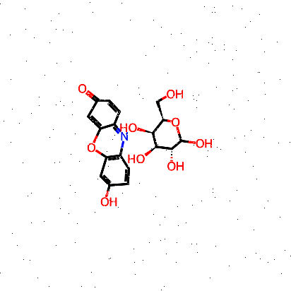 O=c1ccc2nc3ccc(O)cc3oc-2c1.OC[C@H]1OC(O)[C@H](O)[C@@H](O)[C@H]1O